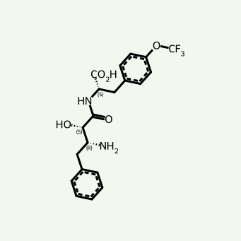 N[C@H](Cc1ccccc1)[C@H](O)C(=O)N[C@@H](Cc1ccc(OC(F)(F)F)cc1)C(=O)O